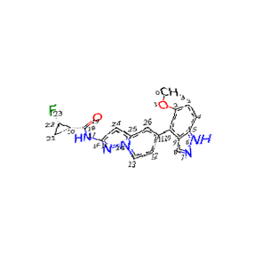 COc1ccc2[nH]ncc2c1-c1ccn2nc(NC(=O)[C@@H]3C[C@@H]3F)cc2c1